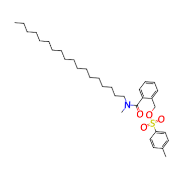 CCCCCCCCCCCCCCCCCCN(C)C(=O)c1ccccc1COS(=O)(=O)c1ccc(C)cc1